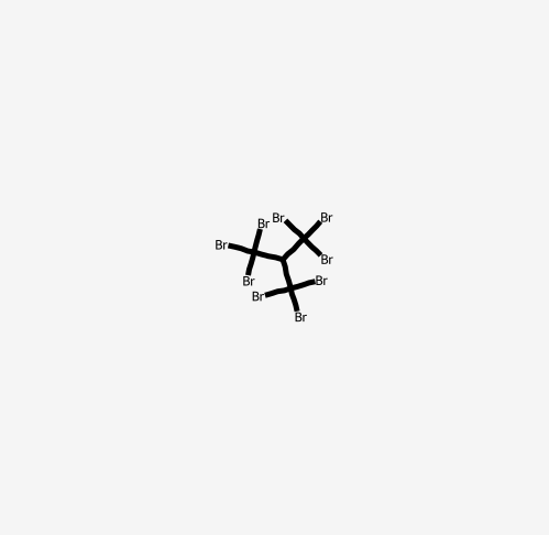 BrC(Br)(Br)C(C(Br)(Br)Br)C(Br)(Br)Br